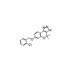 CC1(C)Oc2cc(OCc3ccccc3Cl)ccc2-c2nn[se]c21